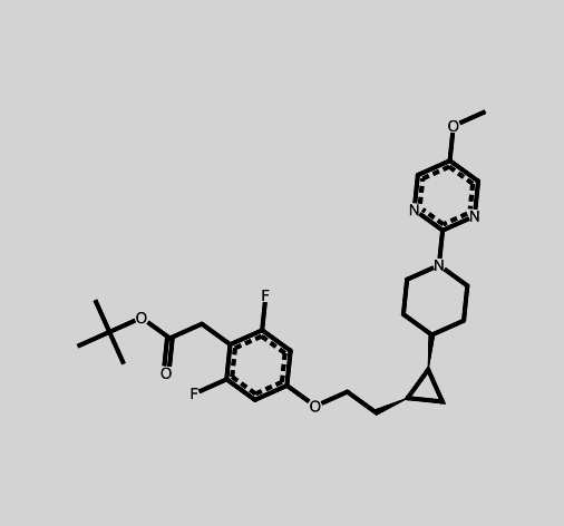 COc1cnc(N2CCC([C@H]3C[C@H]3CCOc3cc(F)c(CC(=O)OC(C)(C)C)c(F)c3)CC2)nc1